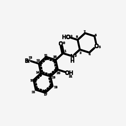 O=C(NC1COCCC1O)c1cc(Br)c2ccccc2c1O